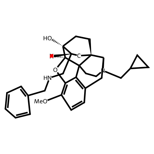 COc1ccc2c3c1O[C@@H]1C34CCN(CC3CC3)C(C2)[C@]42CC[C@@]1(O)[C@@H](CNCc1ccccc1)C2